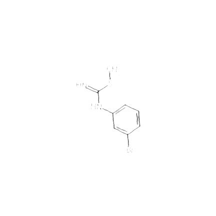 CSC(=N)Nc1cccc(Br)c1